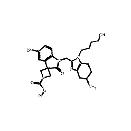 CC1CCc2c(nc(CN3C(=O)C4(CN(C(=O)OC(C)C)C4)c4cc(Br)ccc43)n2CCCCO)C1